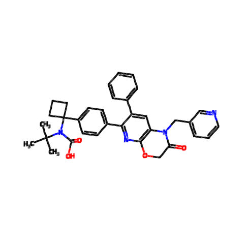 CC(C)(C)N(C(=O)O)C1(c2ccc(-c3nc4c(cc3-c3ccccc3)N(Cc3cccnc3)C(=O)CO4)cc2)CCC1